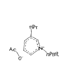 CC(=O)[O-].CCCCC[n+]1cccc(CCC)c1